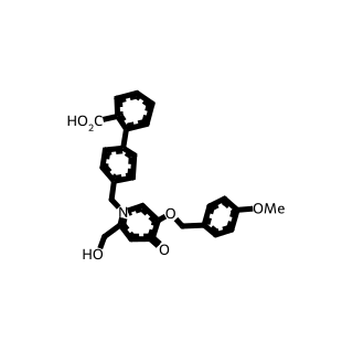 COc1ccc(COc2cn(Cc3ccc(-c4ccccc4C(=O)O)cc3)c(CO)cc2=O)cc1